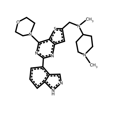 CN1CCC(N(C)Cc2cc3nc(-c4cccc5[nH]ncc45)nc(N4CCOCC4)c3s2)CC1